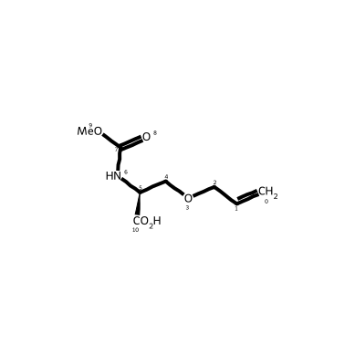 C=CCOC[C@H](NC(=O)OC)C(=O)O